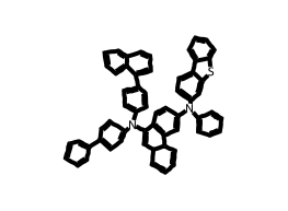 C1=CC2C=C(N(c3ccc(-c4ccccc4)cc3)c3ccc(-c4cccc5ccccc45)cc3)c3ccc(N(c4ccccc4)c4ccc5c(c4)sc4ccccc45)cc3C2C=C1